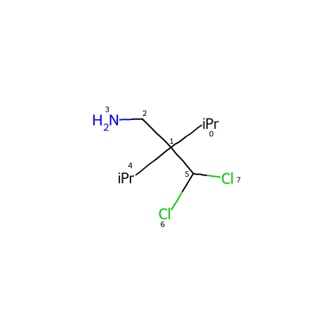 CC(C)C(CN)(C(C)C)C(Cl)Cl